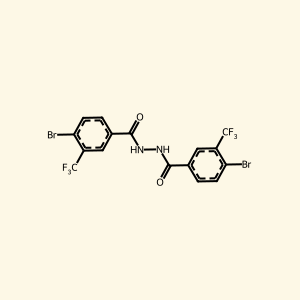 O=C(NNC(=O)c1ccc(Br)c(C(F)(F)F)c1)c1ccc(Br)c(C(F)(F)F)c1